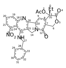 CC[C@@]1(OC(C)=O)C(=O)OCc2c1cc1n(c2=O)Cc2c-1nc1cccc([N+](=O)[O-])c1c2NCc1ccccc1